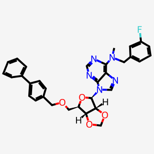 CN(Cc1cccc(F)c1)c1ncnc2c1ncn2[C@@H]1O[C@H](COCc2ccc(-c3ccccc3)cc2)[C@H]2OCO[C@H]21